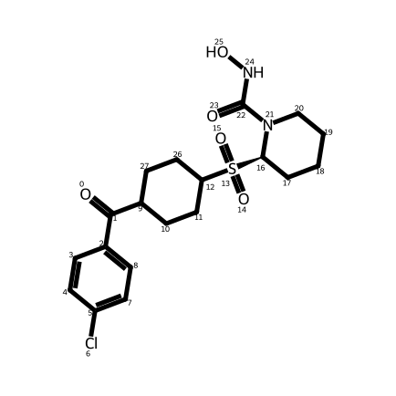 O=C(c1ccc(Cl)cc1)C1CCC(S(=O)(=O)[C@@H]2CCCCN2C(=O)NO)CC1